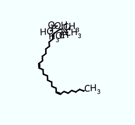 CCCCCCC/C=C\CCCCCCC/C=C\CCCCCCCCC(O)(C[N+](C)(C)C)P(=O)(O)O